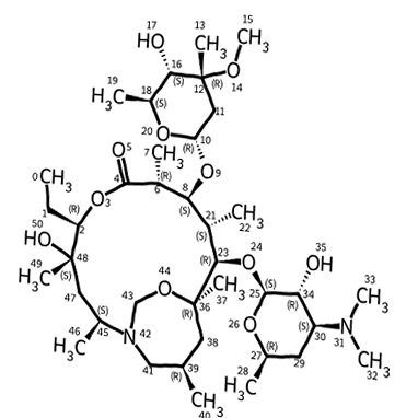 CC[C@H]1OC(=O)[C@H](C)[C@@H](O[C@H]2C[C@@](C)(OC)[C@@H](O)[C@H](C)O2)[C@H](C)[C@@H](O[C@@H]2O[C@H](C)C[C@H](N(C)C)[C@H]2O)[C@@]2(C)C[C@@H](C)CN(CO2)[C@@H](C)C[C@]1(C)O